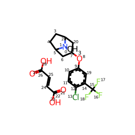 CN1C2CCC1CC(Oc1ccc(Cl)c(C(F)(F)F)c1)C2.O=C(O)/C=C/C(=O)O